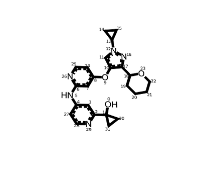 OC1(c2cc(Nc3cc(Oc4cn(C5CC5)nc4C4CCCCO4)ccn3)ccn2)CC1